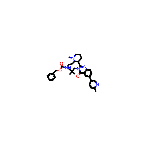 Cc1ccc(-c2ccc3nc(C4CCCN(C)C4CCNC(=O)OCc4ccccc4)n(CC(C)(C)C)c(=O)c3c2)cn1